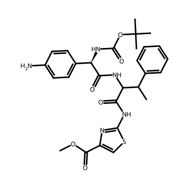 COC(=O)c1csc(NC(=O)C(NC(=O)[C@H](NC(=O)OC(C)(C)C)c2ccc(N)cc2)C(C)c2ccccc2)n1